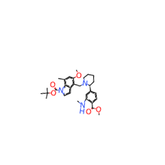 CNc1cc([C@@H]2CCCCN2Cc2c(OC)cc(C)c3c2ccn3C(=O)OC(C)(C)C)ccc1C(=O)OC